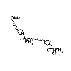 COCCOCCN1CCN(CC(=O)N(C)COCCOCCN2CCC(CC(=O)N(C)C)CC2)CC1